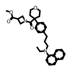 CCN(CCCc1ccc(C2(C(=O)N3CC(C(=O)OC)C3)CCOCC2)cc1)c1cccc2ccccc12